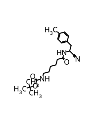 Cc1ccc(CC(C#N)NC(=O)CCCCCNC(=O)OC(C)(C)C)cc1